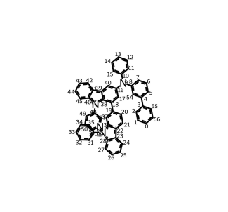 c1ccc(-c2cccc(N(c3ccccc3)c3cc(-c4ccc5c6ccccc6n(-c6ccccc6)c5c4)c4c(c3)c3ccccc3n4-c3cccnc3)c2)cc1